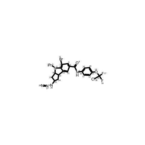 CC(C)N1c2c(Br)cc(C(=O)Nc3ccc(OC(F)(F)Cl)cc3)cc2C2CC(N=[N+]=[N-])CC21